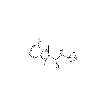 Cc1c(C(=O)NC23CC(C2)C3)[nH]c2c(Cl)cccc12